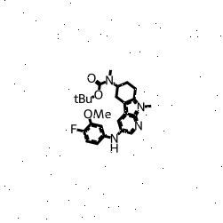 COc1cc(Nc2cnc3c(c2)c2c(n3C)CCC(N(C)C(=O)OC(C)(C)C)C2)ccc1F